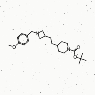 COc1ccc(CN2CC(CCC3CCN(C(=O)OC(C)(C)C)CC3)C2)cc1